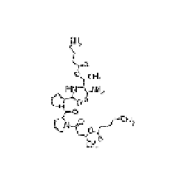 C=CCCC(=O)OC(C)CC(=O)N1CCC[C@H]1C(=O)N1CCC[C@H]1C(=O)NC(C(N)=O)[C@@H](C)OC(=O)CCC=C